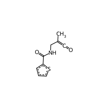 CC(=C=O)CNC(=O)c1cccs1